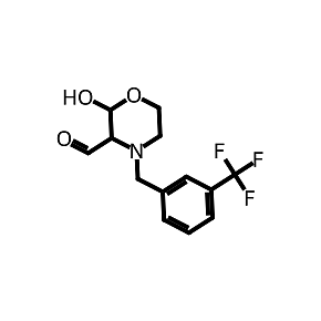 O=CC1C(O)OCCN1Cc1cccc(C(F)(F)F)c1